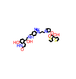 O=C(OC1CC2CC1N(CCCn1nnc3cc(CNC[C@H](O)c4ccc(O)c5[nH]c(=O)ccc45)ccc31)C2)C(O)(c1cccs1)c1cccs1